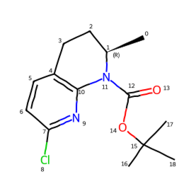 C[C@@H]1CCc2ccc(Cl)nc2N1C(=O)OC(C)(C)C